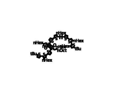 CCCCCCCCC(CCCCCC)CN1C(=O)C2=C(c3ccc(-c4cc(CCCCCC)c(C(C)(C)C(C)(C)c5ccc(-c6cc(CCCCCC)c(-c7sc(C(C)(C)C)cc7CCCCCC)s6)s5)s4)s3)N(CC(CCCCCC)CCCCCCCC)C(=O)C2=C1c1ccc(-c2cc(CCCCCC)c(-c3ccc(C(C)(C)C)s3)s2)s1